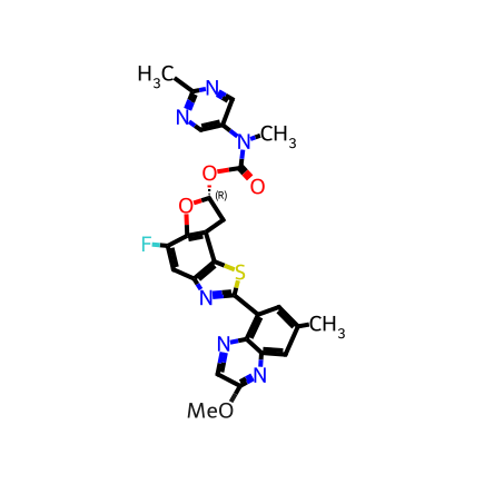 COc1cnc2c(-c3nc4cc(F)c5c(c4s3)C[C@@H](OC(=O)N(C)c3cnc(C)nc3)O5)cc(C)cc2n1